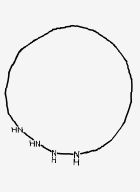 C1CCCCCCCNNNNCCCCCCC1